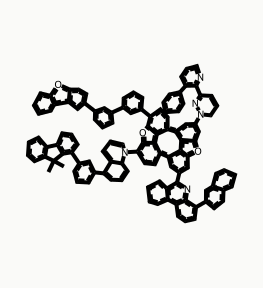 CC1(C)c2ccccc2-c2cccc(-c3cccc(C4=CC=CC5C4=CC=CN5c4ccc5c6cc(-c7nc8c(-c9ccc%10ccccc%10c9)cccc8c8ccccc78)cc7oc8cc(N9CC=CC(c%10ncccc%10-c%10ccccc%10)=N9)cc(c9ccc(-c%10cccc(-c%11cccc(-c%12ccc%13oc%14ccccc%14c%13c%12)c%11)c%10)c%10oc4c5c%109)c8c76)c3)c21